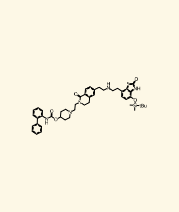 CC(C)(C)[Si](C)(C)Oc1ccc(CCNCCc2ccc3c(c2)CCN(CCN2CCC(OC(=O)Nc4ccccc4-c4ccccc4)CC2)C3=O)c2sc(=O)[nH]c12